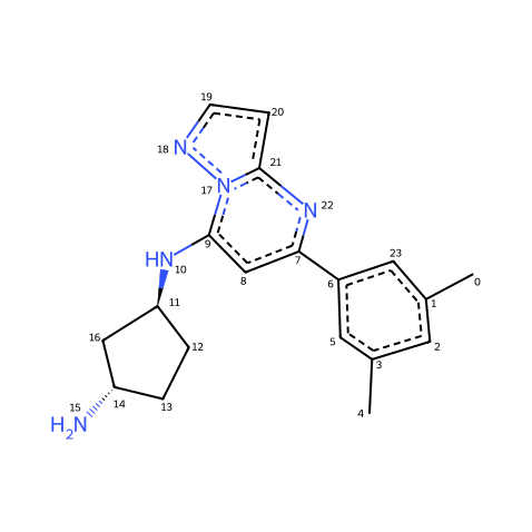 Cc1cc(C)cc(-c2cc(N[C@H]3CC[C@H](N)C3)n3nccc3n2)c1